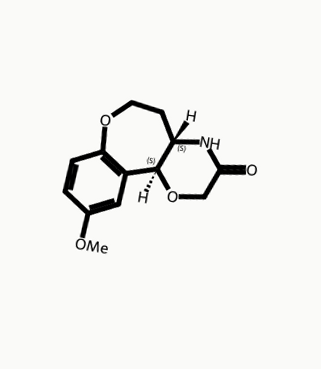 COc1ccc2c(c1)[C@@H]1OCC(=O)N[C@H]1CCO2